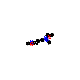 CC1(C)c2cc(-c3ccc(-c4nc(-c5ccccc5)nc(-c5cccc6c5oc5ccccc56)n4)cc3)ccc2-c2cc3nc(-c4ccccc4)oc3cc21